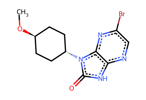 CO[C@H]1CC[C@H](n2c(=O)[nH]c3ncc(Br)nc32)CC1